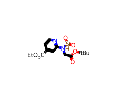 CCOC(=O)c1ccnc(N(CC(=O)OC(C)(C)C)[SH](=O)=O)c1